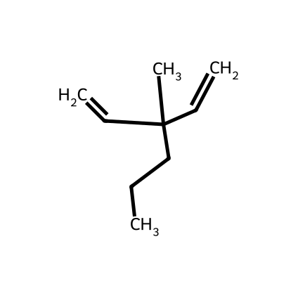 C=CC(C)(C=C)CCC